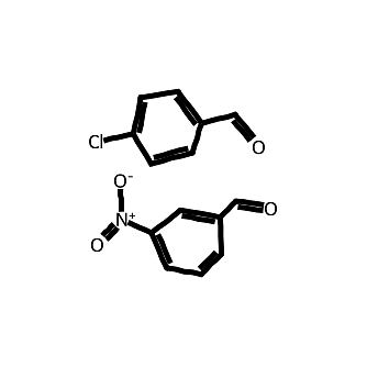 O=Cc1ccc(Cl)cc1.O=Cc1cccc([N+](=O)[O-])c1